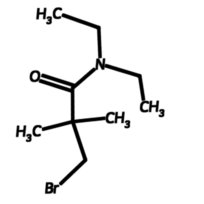 CCN(CC)C(=O)C(C)(C)CBr